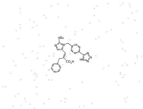 CCCCc1ncc(/C=C(\Cc2ccccc2)C(=O)O)n1Cc1ccc(-c2nnn[nH]2)cc1